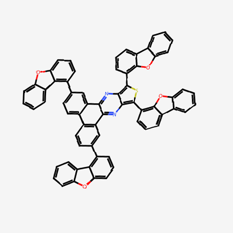 c1ccc2c(c1)oc1c(-c3sc(-c4cccc5c4oc4ccccc45)c4nc5c6cc(-c7cccc8oc9ccccc9c78)ccc6c6ccc(-c7cccc8oc9ccccc9c78)cc6c5nc34)cccc12